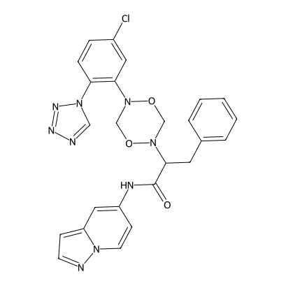 O=C(Nc1ccn2nccc2c1)C(Cc1ccccc1)N1CON(c2cc(Cl)ccc2-n2cnnn2)CO1